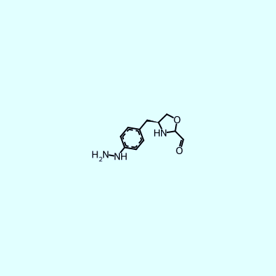 NNc1ccc(C[C@H]2COC(C=O)N2)cc1